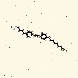 CCCCCCCOc1ccc(C#Cc2ccc(CCCCC)cn2)cc1